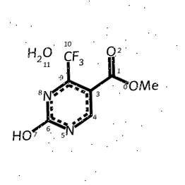 COC(=O)c1cnc(O)nc1C(F)(F)F.O